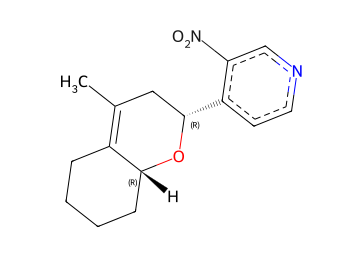 CC1=C2CCCC[C@H]2O[C@@H](c2ccncc2[N+](=O)[O-])C1